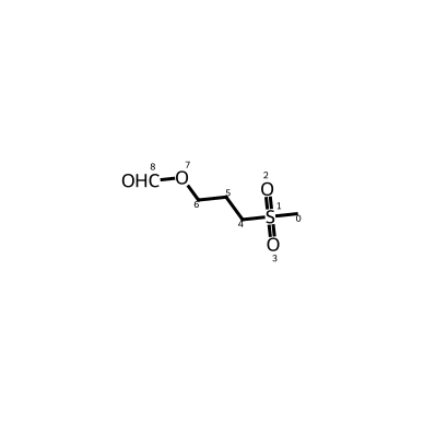 CS(=O)(=O)CCCOC=O